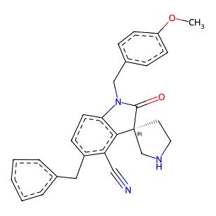 COc1ccc(CN2C(=O)[C@]3(CCNC3)c3c2ccc(Cc2ccccc2)c3C#N)cc1